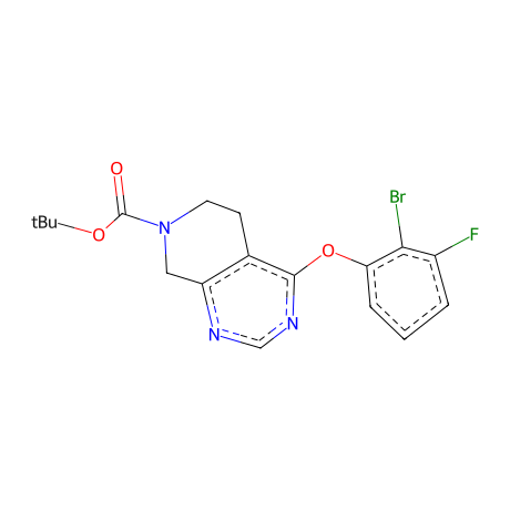 CC(C)(C)OC(=O)N1CCc2c(ncnc2Oc2cccc(F)c2Br)C1